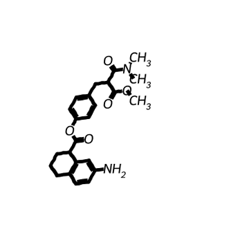 COC(=O)C(Cc1ccc(OC(=O)C2CCCc3ccc(N)cc32)cc1)C(=O)N(C)C